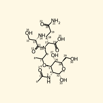 CC(=O)N[C@@H]1[C@@H](OC(C)CN(C(=O)[C@@H](N)CO)[C@H](CCC(N)=O)C(=O)O)[C@H](O)[C@@H](CO)O[C@@H]1O